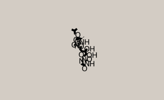 CC(C)COC(=O)[C@H](C)NP(=O)(N=O)OCC1OC(n2ncc(=O)[nH]c2=O)C(O)C1O